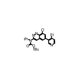 CCc1ccncc1-c1cc(Cl)c2nnc(N(C(=O)OC(C)(C)C)C(C)C)cc2c1